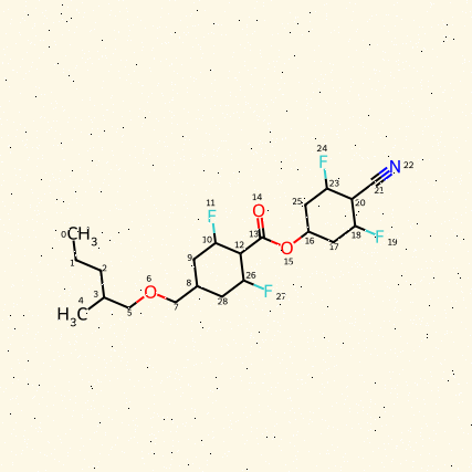 CCCC(C)COCC1CC(F)C(C(=O)OC2CC(F)C(C#N)C(F)C2)C(F)C1